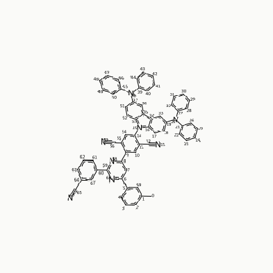 Cc1cccc(-c2cc(-c3cc(C#N)c(-n4c5ccc(N(c6ccccc6)c6ccccc6)cc5c5cc(N(c6ccccc6)c6ccccc6)ccc54)cc3C#N)nc(-c3cccc(C#N)c3)n2)c1